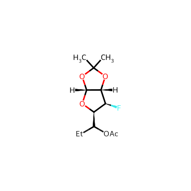 CCC(OC(C)=O)[C@H]1O[C@@H]2OC(C)(C)O[C@@H]2[C@H]1F